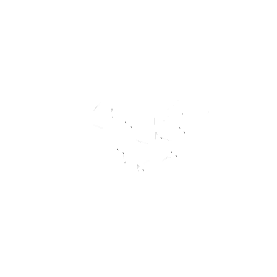 Cc1cccc(Nc2ncnc3cnc(N4CCOCC4(C)C)nc23)c1